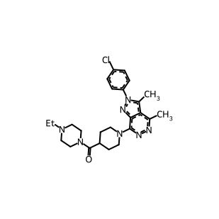 CCN1CCN(C(=O)C2CCN(c3nnc(C)c4c(C)n(-c5ccc(Cl)cc5)nc34)CC2)CC1